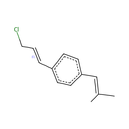 CC(C)=Cc1ccc(/C=C/CCl)cc1